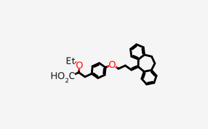 CCOC(Cc1ccc(OCCC=C2c3ccccc3CCc3ccccc32)cc1)C(=O)O